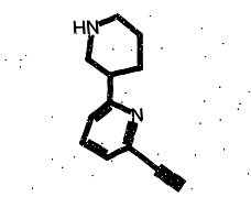 C#Cc1cccc(C2CCCNC2)n1